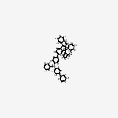 c1ccc(-c2ccc(N(c3ccccc3)c3ccc(-c4ccc5c(c4)C4(c6ccccc6Oc6ccccc64)c4ccc6ccccc6c4-5)cc3)cc2)cc1